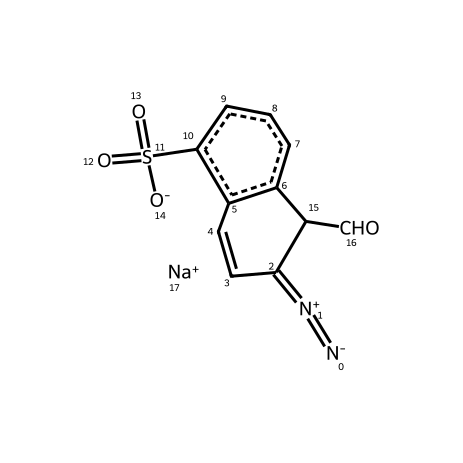 [N-]=[N+]=C1C=Cc2c(cccc2S(=O)(=O)[O-])C1C=O.[Na+]